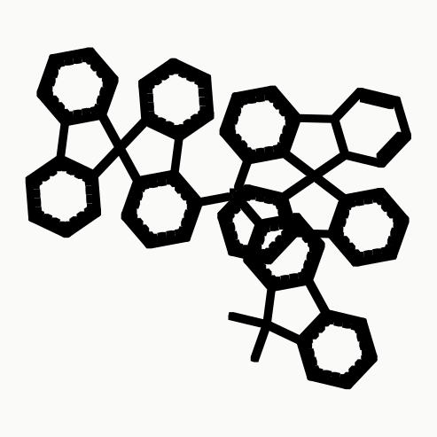 CC1(C)c2ccccc2-c2ccc(N(c3cccc4c3-c3ccccc3C43c4ccccc4-c4ccccc43)c3cccc4c3C3(c5ccccc5-c5ccccc53)C3C=CC=CC43)cc21